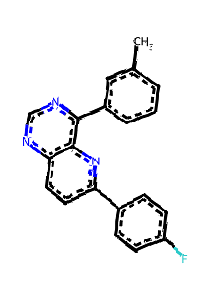 Cc1cccc(-c2ncnc3ccc(-c4ccc(F)cc4)nc23)c1